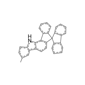 Cc1ccc2[nH]c3c4c(ccc3c2c1)C1(c2ccccc2-c2ccccc21)c1ccccc1-4